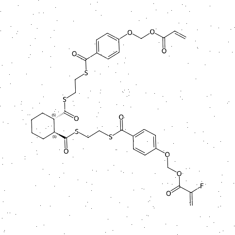 C=CC(=O)OCOc1ccc(C(=O)SCCSC(=O)[C@H]2CCCC[C@@H]2C(=O)SCCSC(=O)c2ccc(OCOC(=O)C(=C)F)cc2)cc1